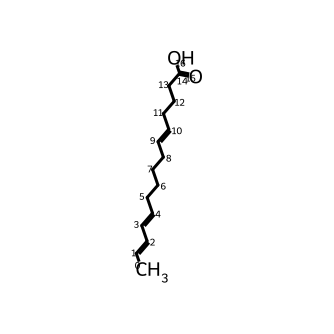 C/C=C/C=C/CCCC/C=C/CCCC(=O)O